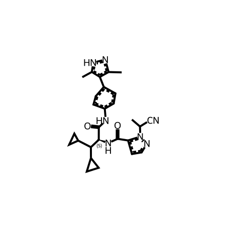 Cc1n[nH]c(C)c1-c1ccc(NC(=O)[C@@H](NC(=O)c2ccnn2C(C)C#N)C(C2CC2)C2CC2)cc1